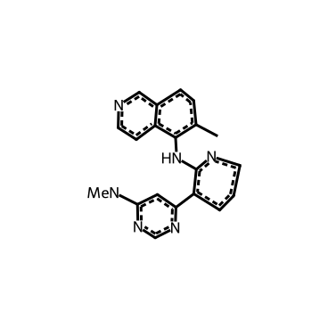 CNc1cc(-c2cccnc2Nc2c(C)ccc3cnccc23)ncn1